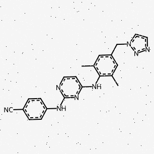 Cc1cc(Cn2ccnn2)cc(C)c1Nc1ccnc(Nc2ccc(C#N)cc2)n1